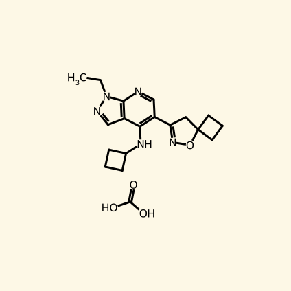 CCn1ncc2c(NC3CCC3)c(C3=NOC4(CCC4)C3)cnc21.O=C(O)O